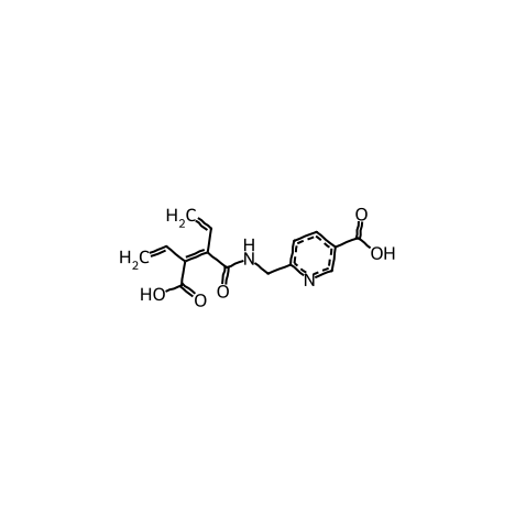 C=C/C(C(=O)O)=C(\C=C)C(=O)NCc1ccc(C(=O)O)cn1